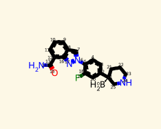 B[C@]1(c2ccc(-n3cc4cccc(C(N)=O)c4n3)c(F)c2)CCCNC1